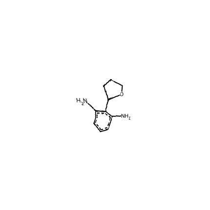 Nc1cccc(N)c1C1CCCO1